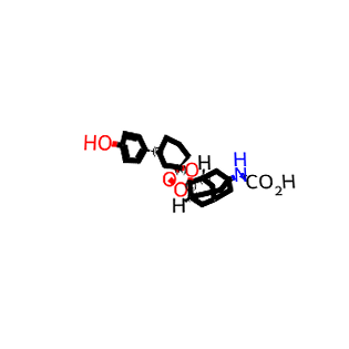 O=C(O)NC12CC3C[C@H](C1)[C@]1(OO[C@@]4(CCC[C@@H](c5ccc(O)cc5)C4)O1)[C@@H](C3)C2